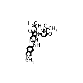 C=CCn1c(=O)c2cnc(Nc3ccc4c(c3)CN(C)C4)nc2n1-c1ccc(=O)n(C(C)C)n1